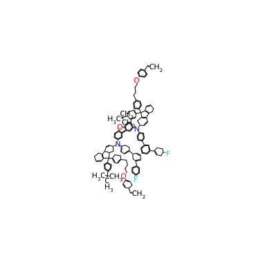 C=Cc1ccc(OCCCCc2ccc(C3(C4=CCC(C(C)(C)C)C=C4)C4=C(CCC=C4)C4=C3CC(N(c3ccc(-c5cccc(C6=CCC(F)CC6)c5)cc3)c3ccc5oc6ccc(N(C7=CC=C(C8C=CC=C(c9ccc(F)cc9)C8)CC7)C7C=CC8C9=C(C=CCC9)C(C9=CC=C(CCCCOC%10=CCC(C=C)C=C%10)CC9)(c9ccc(C(C)(C)C)cc9)C8C7)cc6c5c3)C=C4)cc2)cc1